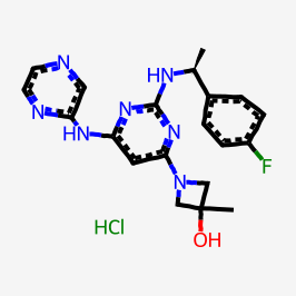 C[C@H](Nc1nc(Nc2cnccn2)cc(N2CC(C)(O)C2)n1)c1ccc(F)cc1.Cl